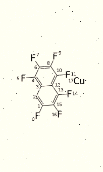 Fc1[c]c2c(F)c(F)c(F)c(F)c2c(F)c1F.[Cu]